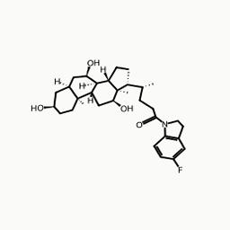 C[C@H](CCC(=O)N1CCc2cc(F)ccc21)[C@H]1CC[C@H]2[C@@H]3[C@H](O)C[C@@H]4C[C@H](O)CC[C@]4(C)[C@H]3C[C@H](O)[C@]12C